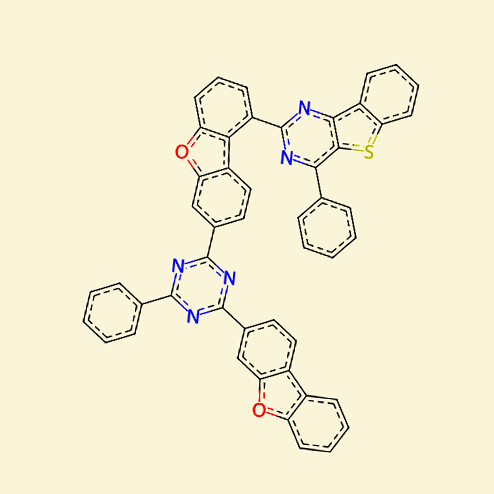 c1ccc(-c2nc(-c3ccc4c(c3)oc3ccccc34)nc(-c3ccc4c(c3)oc3cccc(-c5nc(-c6ccccc6)c6sc7ccccc7c6n5)c34)n2)cc1